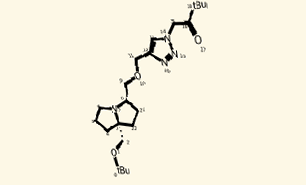 CC(C)(C)OC[C@]12CCCN1[C@@H](COCc1cn(CC(=O)C(C)(C)C)nn1)CC2